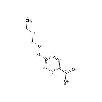 CCCCOOc1ccc(C(=O)O)cc1